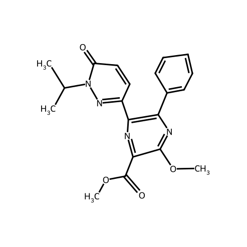 COC(=O)c1nc(-c2ccc(=O)n(C(C)C)n2)c(-c2ccccc2)nc1OC